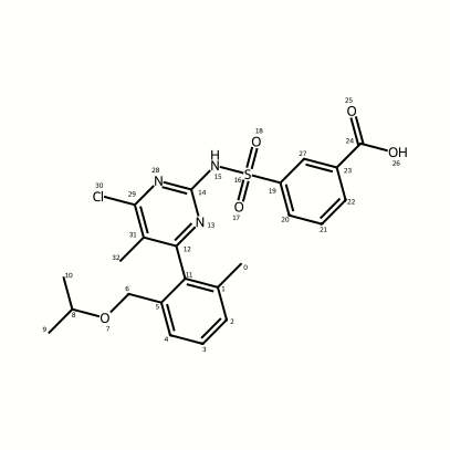 Cc1cccc(COC(C)C)c1-c1nc(NS(=O)(=O)c2cccc(C(=O)O)c2)nc(Cl)c1C